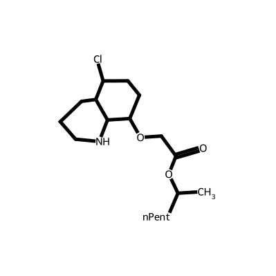 CCCCCC(C)OC(=O)COC1CCC(Cl)C2CCCNC12